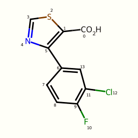 O=C(O)c1scnc1-c1ccc(F)c(Cl)c1